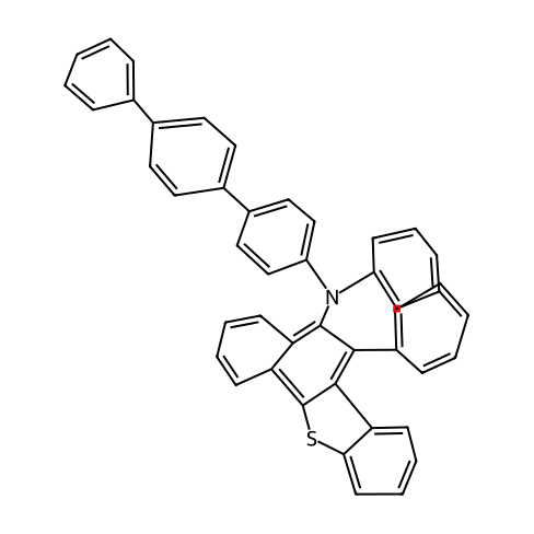 c1ccc(-c2ccc(-c3ccc(N(c4ccccc4)c4c(-c5ccccc5)c5c6ccccc6sc5c5ccccc45)cc3)cc2)cc1